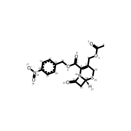 CC(=O)OCC1=C(C(=O)OCc2ccc([N+](=O)[O-])cc2)N2C(=O)C[C@H]2SC1